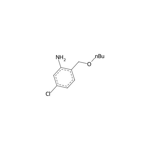 CCCCOCc1ccc(Cl)cc1N